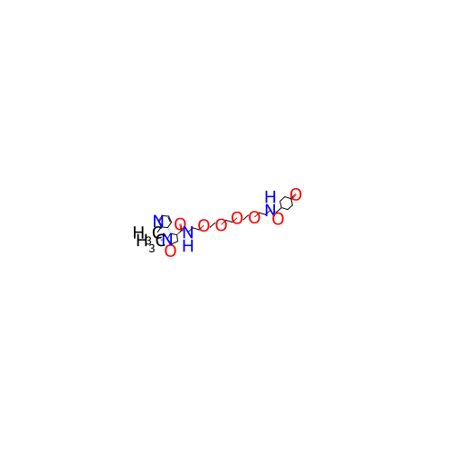 CC1N=CC=CC1[C@@H]1[C@@H](C(=O)NCCOCCOCCOCCOCCNC(=O)C2CCC(=O)CC2)CC(=O)N1C